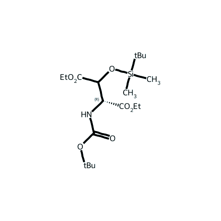 CCOC(=O)C(O[Si](C)(C)C(C)(C)C)[C@@H](NC(=O)OC(C)(C)C)C(=O)OCC